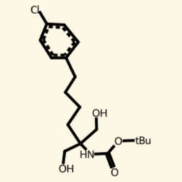 CC(C)(C)OC(=O)NC(CO)(CO)CCCCc1ccc(Cl)cc1